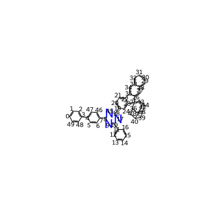 c1ccc(-c2ccc(-c3nc(-c4ccccc4)nc(-c4ccc5c(c4)C4(c6cc7ccccc7cc6-5)C5CC6CC(C5)CC4C6)n3)cc2)cc1